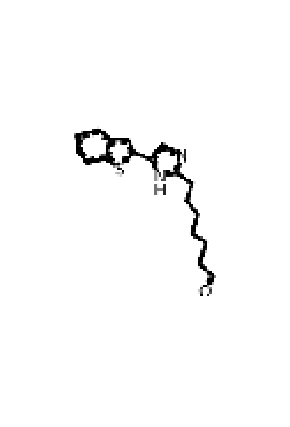 O=CCCCCCCc1ncc(-c2cc3ccccc3s2)[nH]1